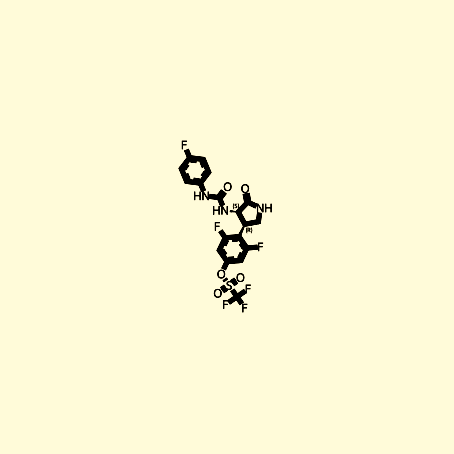 O=C(Nc1ccc(F)cc1)N[C@@H]1C(=O)NC[C@H]1c1c(F)cc(OS(=O)(=O)C(F)(F)F)cc1F